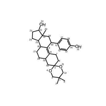 CC1(C)COC2(CCC3=C4C(c5ccc(O)cc5)CC5(C)C(O)CCC5C4CCC3C2)OC1